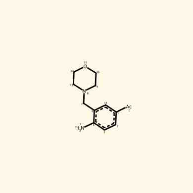 CC(=O)c1ccc(N)c(CN2CCOCC2)c1